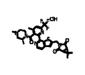 Cc1cc(C(F)(F)F)nc(-c2nccc3cc(CN4C(=O)C5C(C4=O)C5(C)C)sc23)c1C(=O)N1CCN(C)C[C@@H]1C.Cl